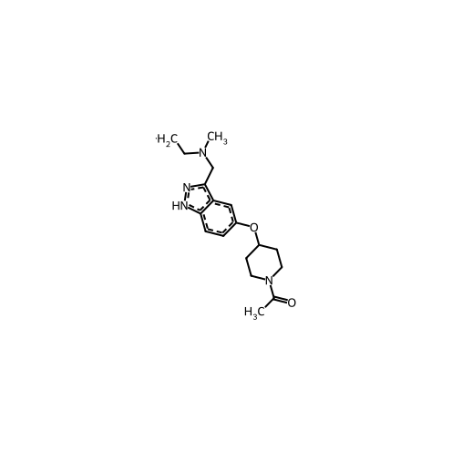 [CH2]CN(C)Cc1n[nH]c2ccc(OC3CCN(C(C)=O)CC3)cc12